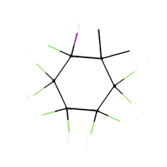 CC1(C)C(F)(F)C(F)(F)C(F)(F)C(F)(F)C1(F)I